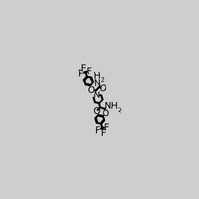 NC(=O)C(Oc1ccc(C(F)(F)F)cc1)C1CCN(C(Oc2ccc(C(F)(F)F)cc2)C(N)=O)CC1